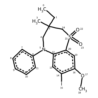 CCC1(C)CN(c2ccccc2)c2cc(I)c(OC)cc2S(=O)(=O)C1